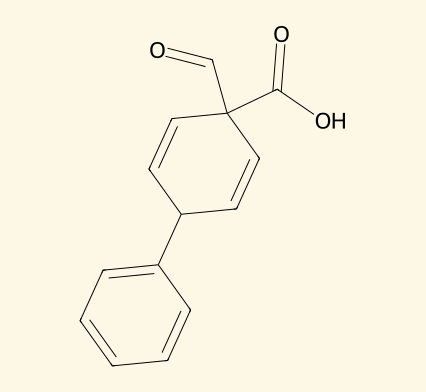 O=CC1(C(=O)O)C=CC(c2ccccc2)C=C1